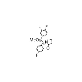 CO[C@H](c1ccc(F)c(F)c1)[C@H](c1ccc(F)cc1)N1CCCC1=O